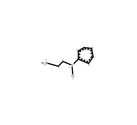 NCC[S+]([O-])c1ccccc1